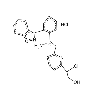 Cl.N[C@@H](Cc1cccc(C(O)CO)n1)c1ccccc1-c1noc2ccccc12